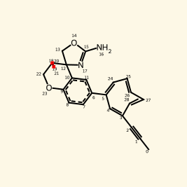 CC#CC1=C/C(c2ccc3c(c2)C2(COC(N)=N2)C2(CCC2)CO3)=C\C=C\C=C\1